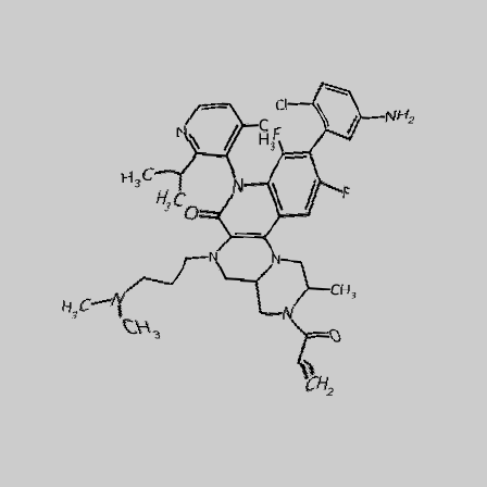 C=CC(=O)N1CC2CN(CCCN(C)C)c3c(c4cc(F)c(-c5cc(N)ccc5Cl)c(F)c4n(-c4c(C)ccnc4C(C)C)c3=O)N2CC1C